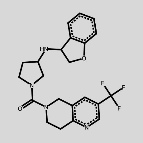 O=C(N1CCc2ncc(C(F)(F)F)cc2C1)N1CCC(NC2COc3ccccc32)C1